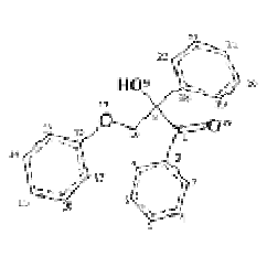 O=C(c1ccccc1)C(O)(COc1ccccc1)c1ccccc1